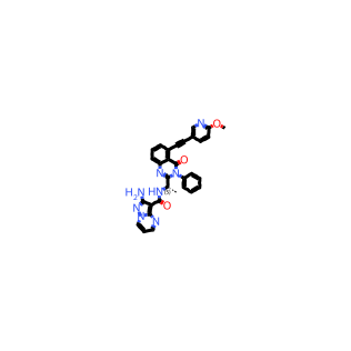 COc1ccc(C#Cc2cccc3nc([C@H](C)NC(=O)c4c(N)nn5cccnc45)n(-c4ccccc4)c(=O)c23)cn1